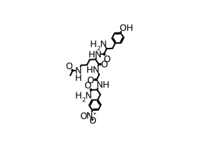 CC(=O)NCCCC(NC(=O)C(N)Cc1ccc(O)cc1)C(=O)NCC(=O)NC(Cc1ccc([N+](=O)[O-])cc1)C(N)=O